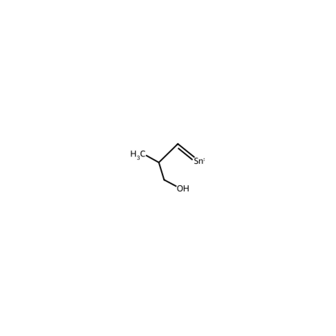 CC([CH]=[Sn])CO